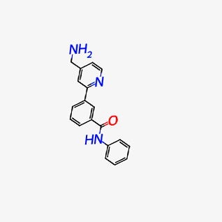 NCc1ccnc(-c2cccc(C(=O)Nc3ccccc3)c2)c1